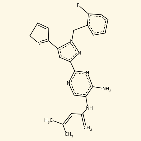 C=C(C=C(C)C)Nc1cnc(-c2cc(C3=NCC=C3)n(Cc3ccccc3F)n2)nc1N